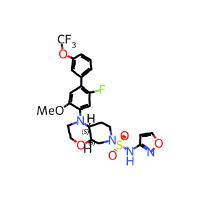 COc1cc(-c2cccc(OC(F)(F)F)c2)c(F)cc1N1CCO[C@H]2CN(S(=O)(=O)Nc3ccon3)CC[C@@H]21